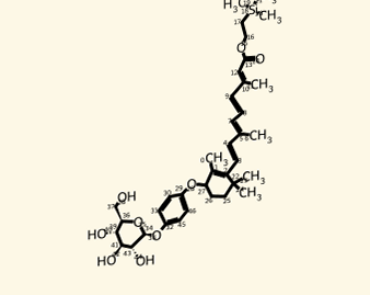 CC1=C(/C=C/C(C)=C/C=C/C(C)=C/C(=O)OCC[Si](C)(C)C)C(C)(C)CCC1Oc1ccc(O[C@@H]2O[C@H](CO)[C@@H](O)[C@H](O)[C@H]2O)cc1